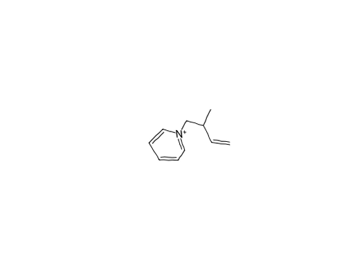 C=CC(C)C[n+]1ccccc1